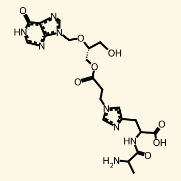 CC(N)C(=O)NC(Cc1cn(CCC(=O)OC[C@@H](CO)OCn2cnc3c(=O)[nH]cnc32)cn1)C(=O)O